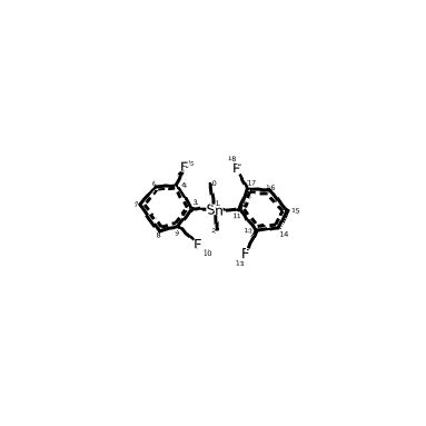 [CH3][Sn]([CH3])([c]1c(F)cccc1F)[c]1c(F)cccc1F